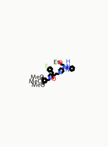 CCOCCN(c1nc2ccccc2[nH]1)C1CCN(CCCC2(Cc3ccc(F)cc3)CCN(Cc3cc(OC)c(OC)c(OC)c3)C2=O)CC1